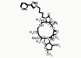 CC[C@H]1OC(=O)C(C)(F)C(=O)C[C@@H](O[C@@H]2O[C@H](C)CC(N)C2O)[C@](C)(OC)C[C@@H](C)CN[C@H](C)[C@H]2N(CCCCn3cc(-c4cccnn4)nn3)C(=O)O[C@]12C